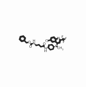 CN(c1cc(C(F)(F)F)nc2ccc(Cl)cc12)[C@H]1CC[C@@H](NC(=O)CCCNC(=O)OCc2ccccc2)CC1